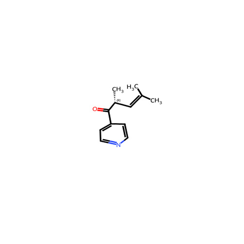 CC(C)=C[C@@H](C)C(=O)c1ccncc1